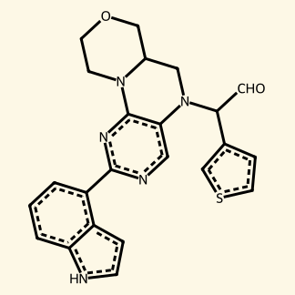 O=CC(c1ccsc1)N1CC2COCCN2c2nc(-c3cccc4[nH]ccc34)ncc21